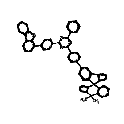 CC1(C)c2ccccc2C2(c3ccccc3-c3cc(-c4ccc(-c5nc(-c6ccccc6)nc(-c6ccc(-c7cccc8c7oc7ccccc78)cc6)n5)cc4)ccc32)c2ccccc21